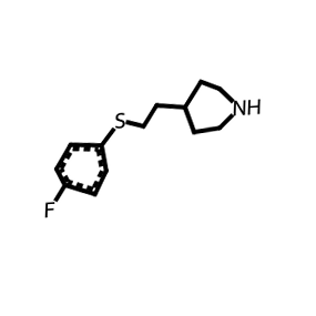 Fc1ccc(SCCC2CCNCC2)cc1